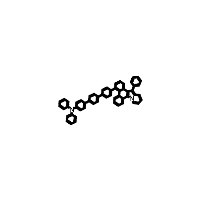 c1ccc(-c2c3c4cccc(-c5ccc(-c6ccc(-c7ccc(N(c8ccccc8)c8ccccc8)cc7)cc6)cc5)c4c4ccccc4c3n3ccccc23)cc1